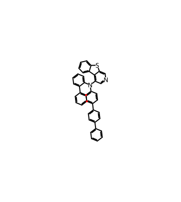 c1ccc(-c2ccc(-c3ccc(N(c4ccccc4-c4ccccc4)c4cncc5sc6ccccc6c45)cc3)cc2)cc1